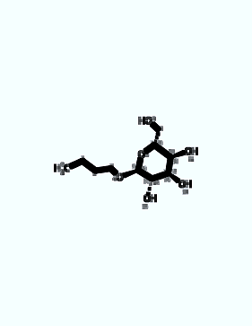 CCCCO[C@H]1O[C@H](CO)[C@@H](O)[C@@H](O)[C@@H]1O